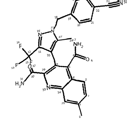 Cc1ccc2c(C(N)=O)c(-c3c(C(F)(F)F)nn(Cc4ccc(C#N)cc4)c3C)c(C(N)=O)nc2c1